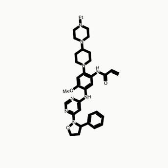 C=CC(=O)Nc1cc(Nc2cc(N3OCCC3c3ccccc3)ncn2)c(OC)cc1N1CCC(N2CCN(CC)CC2)CC1